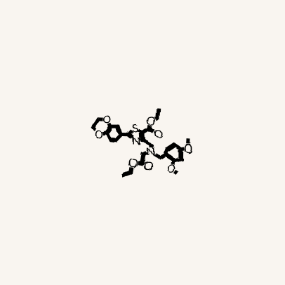 CCOC(=O)CN(Cc1ccc(OC)cc1OC)Cc1nc(-c2ccc3c(c2)OCCO3)sc1C(=O)OCC